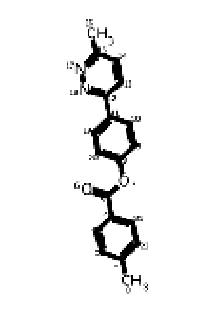 Cc1ccc(C(=O)Oc2ccc(-c3ccc(C)nn3)cc2)cc1